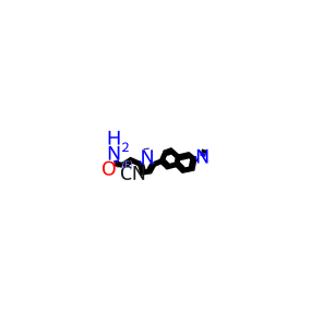 CN(C)c1ccc2cc(-c3ccc(/C=C(\C#N)C(N)=O)n3C)ccc2c1